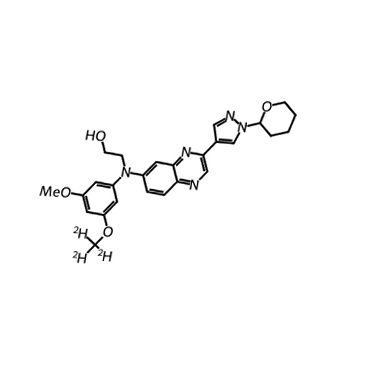 [2H]C([2H])([2H])Oc1cc(OC)cc(N(CCO)c2ccc3ncc(-c4cnn(C5CCCCO5)c4)nc3c2)c1